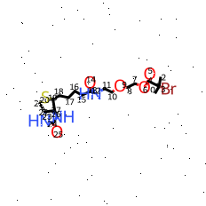 CC(C)(Br)C(=O)OCCOCCNC(=O)CCCCC1SCC2NC(=O)NC21